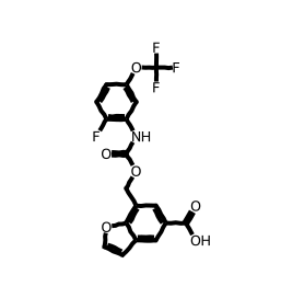 O=C(Nc1cc(OC(F)(F)F)ccc1F)OCc1cc(C(=O)O)cc2ccoc12